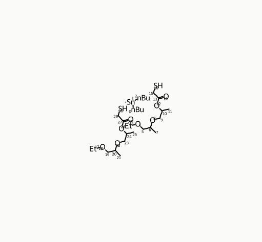 CCC[CH2][Sn][CH2]CCC.CCOCC(C)OCC(C)OC(=O)CS.CCOCC(C)OCC(C)OC(=O)CS